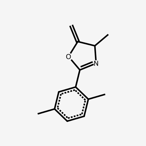 C=C1OC(c2cc(C)ccc2C)=NC1C